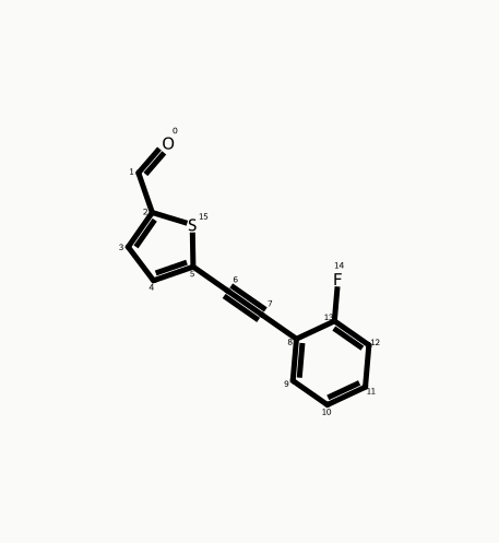 O=Cc1ccc(C#Cc2ccccc2F)s1